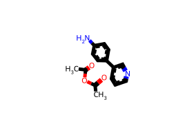 CC(=O)OC(C)=O.Nc1ccc(-c2cccnc2)cc1